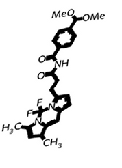 COC(OC)c1ccc(C(=O)NC(=O)CCc2ccc3n2C(F)(F)N2C(C)=CC(C)C2=C3)cc1